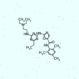 CCc1nc(NCCN(CC)CC)nc(Nc2ncc(C(=O)Nc3c(C)cc(C)cc3C)o2)n1